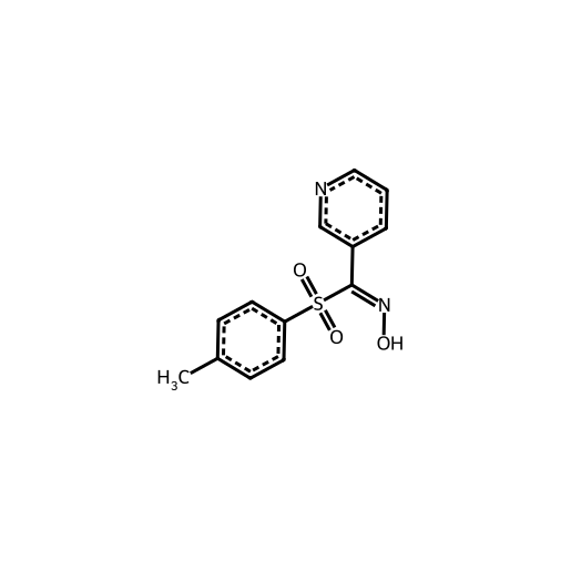 Cc1ccc(S(=O)(=O)C(=NO)c2cccnc2)cc1